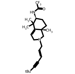 CC(C)(C)C#CC=CCN1CC=C2C(C)(C)[C@@H](NC(=O)C(F)(F)F)CC[C@]2(C)C1